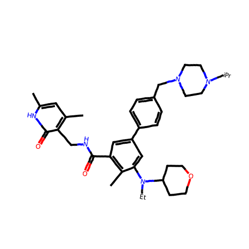 CCN(c1cc(-c2ccc(CN3CCN(C(C)C)CC3)cc2)cc(C(=O)NCc2c(C)cc(C)[nH]c2=O)c1C)C1CCOCC1